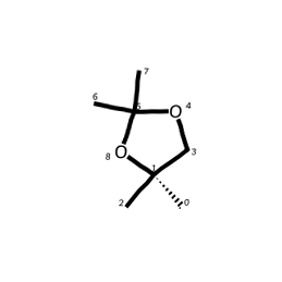 [CH2][C@@]1(C)COC(C)(C)O1